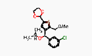 COCc1sc(C2OCCO2)cc1C(O[SiH](C)C)c1cccc(Cl)c1